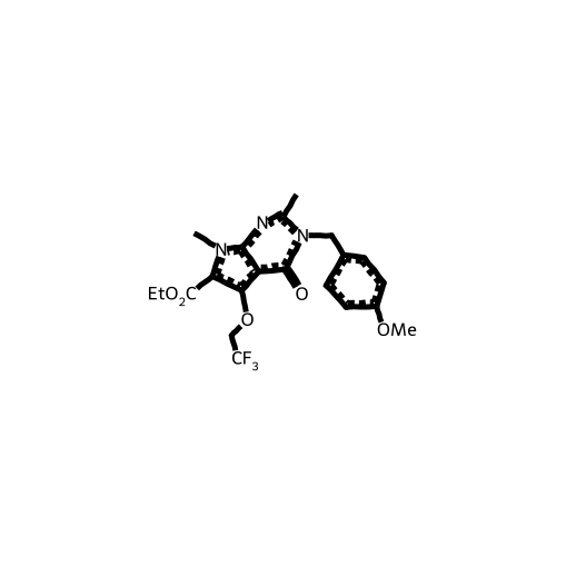 CCOC(=O)c1c(OCC(F)(F)F)c2c(=O)n(Cc3ccc(OC)cc3)c(C)nc2n1C